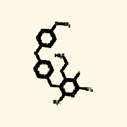 Cc1nc(C)c(Cc2ccc(Oc3ccc(OC(F)(F)F)cc3)cc2)c(COC(=O)O)c1I